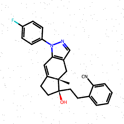 [C-]#[N+]c1ccccc1CC[C@]1(O)CCC2=Cc3c(cnn3-c3ccc(F)cc3)C[C@@]21C